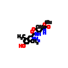 COC(=O)C(CCNC(=O)OC(C)(C)C)NC(=O)C(N)Cc1c(C)cc(O)cc1C